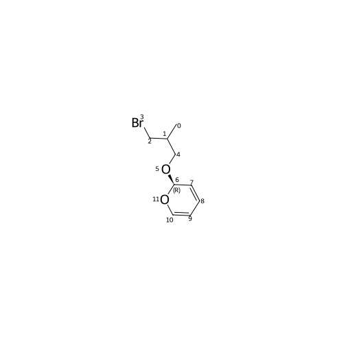 CC(CBr)CO[C@H]1C=CC=CO1